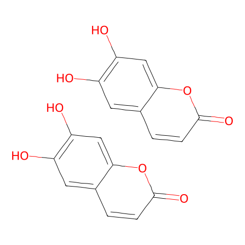 O=c1ccc2cc(O)c(O)cc2o1.O=c1ccc2cc(O)c(O)cc2o1